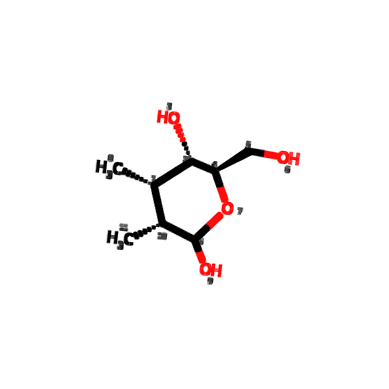 C[C@@H]1[C@H](O)[C@@H](CO)OC(O)[C@@H]1C